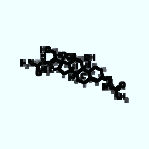 C[C@@H]1C[C@H]2[C@@H]3CCC4=CC(=NNC(N)=O)CC[C@]4(C)[C@H]3[C@@H](O)C[C@]2(C)[C@@]1(O)C(CO)=NNC(N)=O